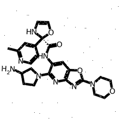 Cc1cc([C@@]2(C(=O)Nc3cc4oc(N5CCOCC5)nc4nc3N3CCC(N)C3)NC=CO2)ccn1